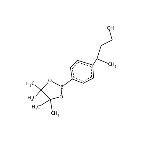 CC(CCO)c1ccc(B2OC(C)(C)C(C)(C)O2)cc1